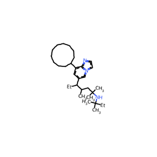 CCC(c1cc(C2CCCCCCCCCC2)c2nccn2c1)C(C)CC(C)(C)NC(C)(C)CC